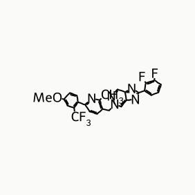 COc1ccc(-c2ccc(Cn3cc4nc(-c5cccc(F)c5F)nc-4cn3)c(C)n2)c(C(F)(F)F)c1